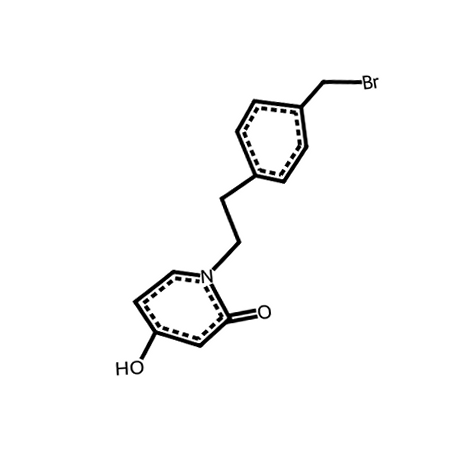 O=c1cc(O)ccn1CCc1ccc(CBr)cc1